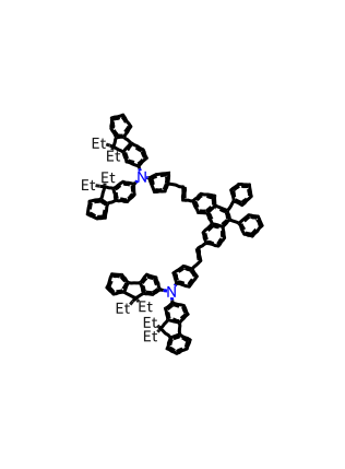 CCC1(CC)c2ccccc2-c2ccc(N(c3ccc(/C=C/c4ccc5c(-c6ccccc6)c(-c6ccccc6)c6ccc(/C=C/c7ccc(N(c8ccc9c(c8)C(CC)(CC)c8ccccc8-9)c8ccc9c(c8)C(CC)(CC)c8ccccc8-9)cc7)cc6c5c4)cc3)c3ccc4c(c3)C(CC)(CC)c3ccccc3-4)cc21